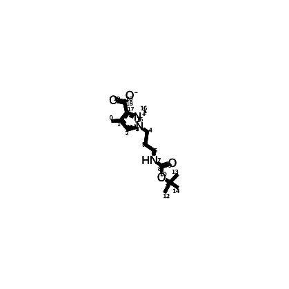 Cc1cn(CCCNC(=O)OC(C)(C)C)[n+](C)c1C(=O)[O-]